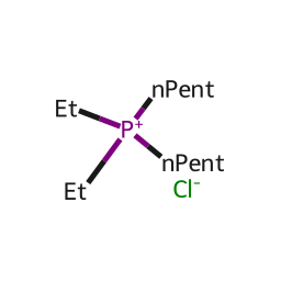 CCCCC[P+](CC)(CC)CCCCC.[Cl-]